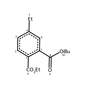 CCOC(=O)c1ccc(CC)cc1C(=O)OCC(C)C